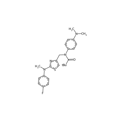 CN(C)c1ccc(N(Cc2csc(N(C)c3ccc(F)cc3)n2)C(=O)C(C)(C)C)cc1